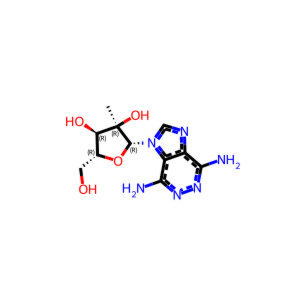 C[C@@]1(O)[C@H](O)[C@@H](CO)O[C@H]1n1cnc2c(N)nnc(N)c21